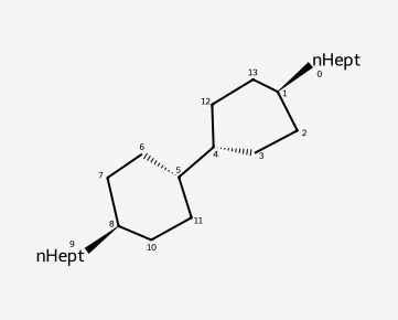 CCCCCCC[C@H]1CC[C@H]([C@H]2CC[C@H](CCCCCCC)CC2)CC1